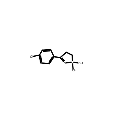 OS1(O)CCC(c2ccc(Cl)cc2)=N1